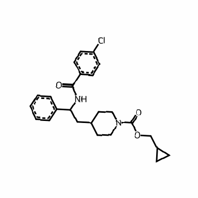 O=C(NC(CC1CCN(C(=O)OCC2CC2)CC1)c1ccccc1)c1ccc(Cl)cc1